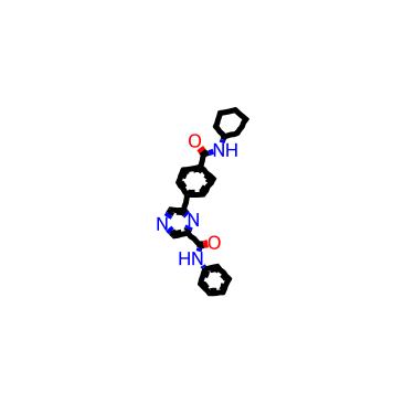 O=C(NC1CCCCC1)c1ccc(-c2cncc(C(=O)Nc3ccccc3)n2)cc1